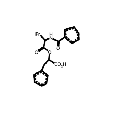 CC(C)C(NC(=O)c1ccccc1)C(=O)OC(Cc1ccccc1)C(=O)O